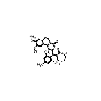 COc1cc2c(cc1OC)-c1cc(N(c3c(C)cc(C)cc3C)N3CCCCNC3=O)nc(=O)n1CC2